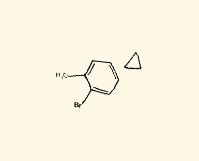 C1CC1.Cc1ccccc1Br